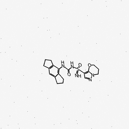 N=S(=O)(NC(=O)Nc1c2c(cc3c1CCC3)CCC2)c1cnn2c1OCCC2